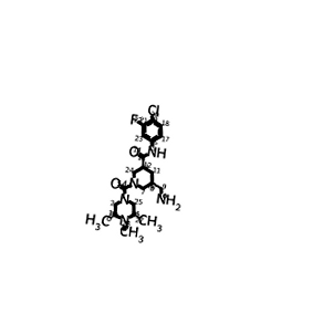 C[C@@H]1CN(C(=O)N2C[C@H](CN)C[C@H](C(=O)Nc3ccc(Cl)c(F)c3)C2)C[C@H](C)N1C